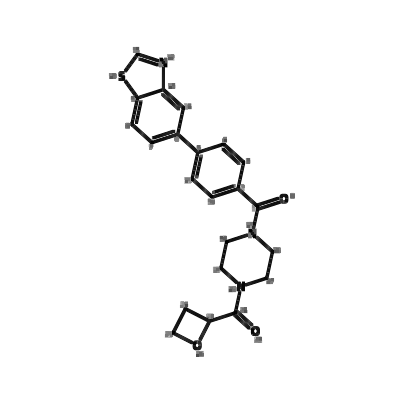 O=C(c1ccc(-c2ccc3scnc3c2)cc1)N1CCN(C(=O)C2CCO2)CC1